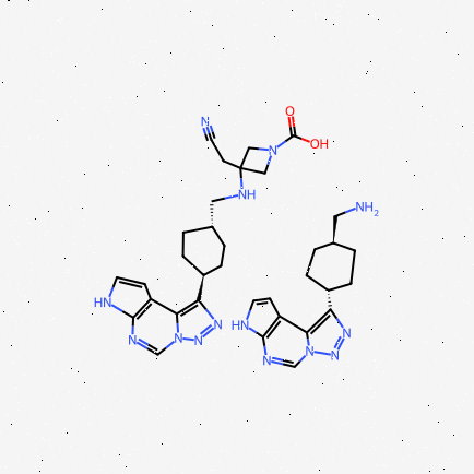 N#CCC1(NC[C@H]2CC[C@H](c3nnn4cnc5[nH]ccc5c34)CC2)CN(C(=O)O)C1.NC[C@H]1CC[C@H](c2nnn3cnc4[nH]ccc4c23)CC1